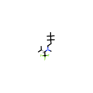 CC(C)[C@H](N(C)CCC(C)(C)C(C)(C)C)C(F)(F)F